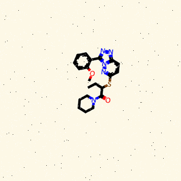 CCC(Sc1ccc2nnc(-c3ccccc3OC)n2n1)C(=O)N1CCCCC1